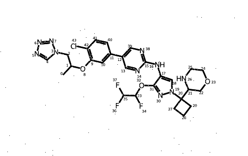 CC(Cn1cnnn1)Oc1cc(-c2cnc(Nc3cn(C4(C5COCCN5)CCC4)nc3OC(F)C(F)F)nc2)ccc1Cl